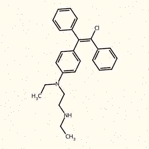 CCNCCN(CC)c1ccc(/C(=C(/Cl)c2ccccc2)c2ccccc2)cc1